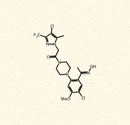 COc1cc(N2CCN(C(=O)Cn3nc(C(F)(F)F)c(Cl)c3C)CC2)c(/C(C)=N/O)cc1Cl